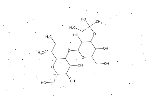 CCC(C)C1O[C@@H](CO)C(O)C(O)C1OC1OC(CO)C(O)C(OC(C)(O)CC)C1O